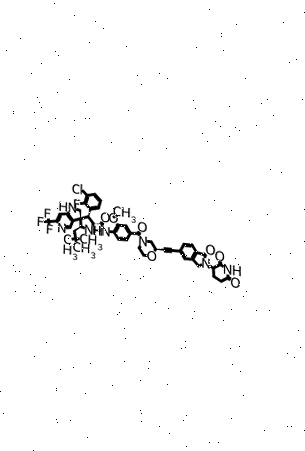 COc1cc(C(=O)N2CCO[C@H](C#Cc3ccc4c(c3)CN(C3CCC(=O)NC3=O)C4=O)C2)ccc1NC(=O)[C@@H]1N[C@@H](CC(C)(C)C)[C@@]2(CNc3cc(C(F)(F)F)ncc32)[C@H]1c1cccc(Cl)c1F